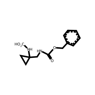 O=C(O)NC1(CNC(=O)OCc2ccccc2)CC1